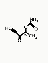 C#CC(=O)[C@H](C)OC(N)=O